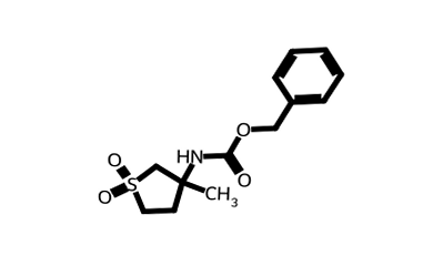 CC1(NC(=O)OCc2ccccc2)CCS(=O)(=O)C1